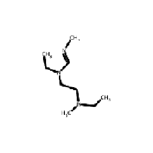 CCN(C)CCN(C=NC)CC